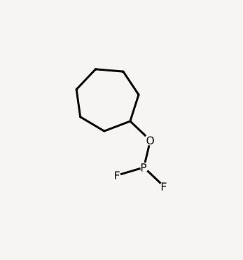 FP(F)OC1CCCCCC1